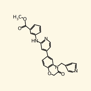 COC(=O)c1cccc(Nc2cc(-c3ccc4c(c3)N(Cc3ccncc3)C(=O)CO4)ccn2)c1